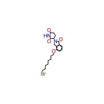 O=C1CCC(N2Cc3c(OCCCCCCCCBr)cccc3C2=O)C(=O)N1